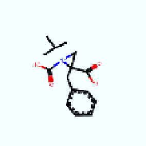 CC(C)(C)[N@@+]1(C(=O)O)CC1(Cc1ccccc1)C(=O)O